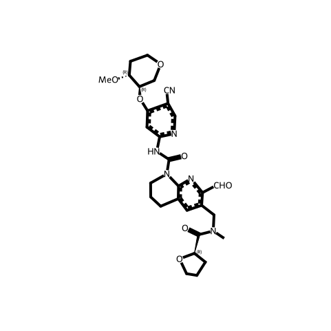 CO[C@@H]1CCOC[C@H]1Oc1cc(NC(=O)N2CCCc3cc(CN(C)C(=O)[C@H]4CCCO4)c(C=O)nc32)ncc1C#N